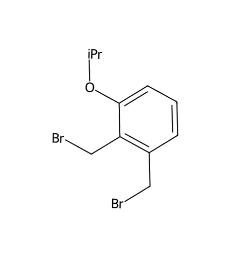 CC(C)Oc1cccc(CBr)c1CBr